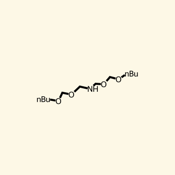 CCCCOCOCNCOCOCCCC